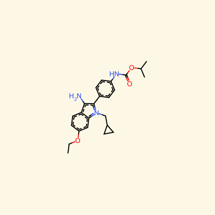 CCOc1ccc2c(N)c(-c3ccc(NC(=O)OC(C)C)cc3)n(CC3CC3)c2c1